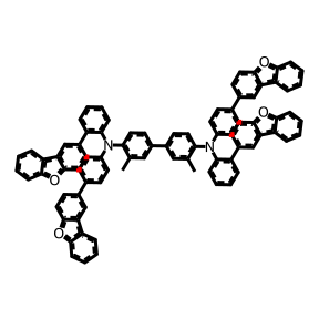 Cc1cc(-c2ccc(N(c3ccc(-c4ccc5oc6ccccc6c5c4)cc3)c3ccccc3-c3ccc4oc5ccccc5c4c3)c(C)c2)ccc1N(c1ccc(-c2ccc3oc4ccccc4c3c2)cc1)c1ccccc1-c1ccc2oc3ccccc3c2c1